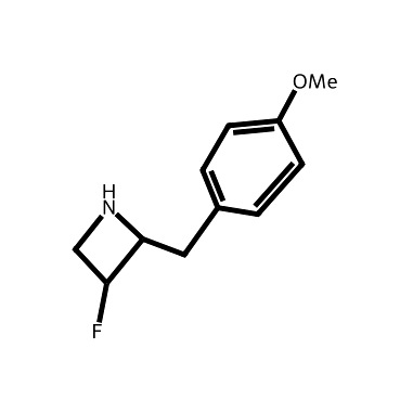 COc1ccc(CC2NCC2F)cc1